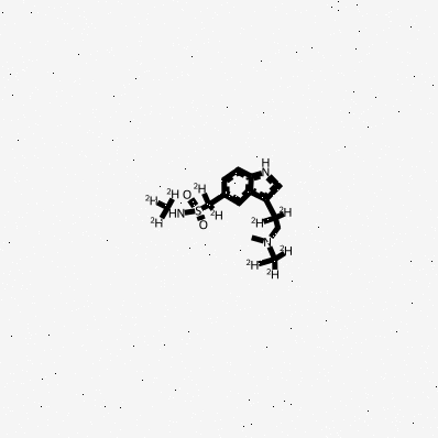 [2H]C([2H])([2H])NS(=O)(=O)C([2H])([2H])c1ccc2[nH]cc(C([2H])([2H])CN(C)C([2H])([2H])[2H])c2c1